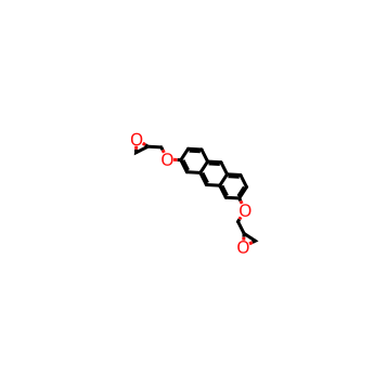 c1cc2cc3ccc(OCC4CO4)cc3cc2cc1OCC1CO1